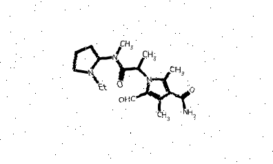 CCN1CCCC1N(C)C(=O)C(C)n1c(C)c(C(N)=O)c(C)c1C=O